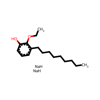 CCCCCCCCCc1cccc(O)c1OCC.[NaH].[NaH]